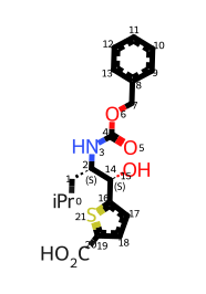 CC(C)C[C@H](NC(=O)OCc1ccccc1)[C@H](O)c1ccc(C(=O)O)s1